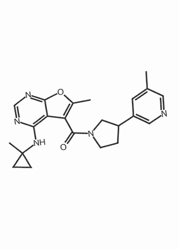 Cc1cncc(C2CCN(C(=O)c3c(C)oc4ncnc(NC5(C)CC5)c34)C2)c1